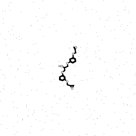 OC(COc1cccc(OCC2CO2)c1)COc1cccc(OCC2CO2)c1